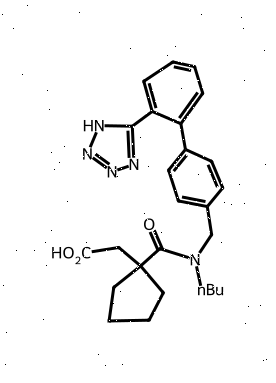 CCCCN(Cc1ccc(-c2ccccc2-c2nnn[nH]2)cc1)C(=O)C1(CC(=O)O)CCCC1